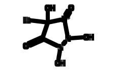 CCC1(O)C(=O)N(O)N(O)[N+]1=O